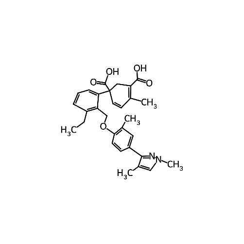 CCc1cccc(C2(C(=O)O)C=CC(C)=C(C(=O)O)C2)c1COc1ccc(-c2nn(C)cc2C)cc1C